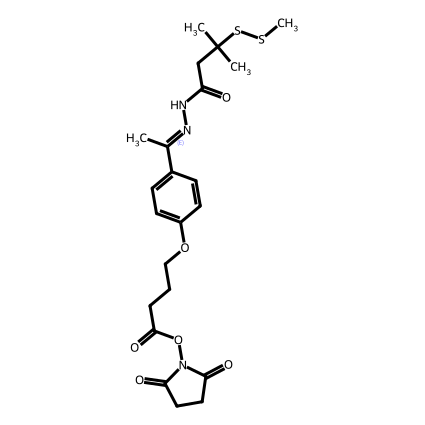 CSSC(C)(C)CC(=O)N/N=C(\C)c1ccc(OCCCC(=O)ON2C(=O)CCC2=O)cc1